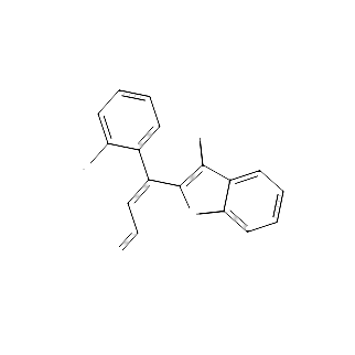 C=C/C=C(/c1ccccc1C(C)(C)C)c1oc2ccccc2c1C